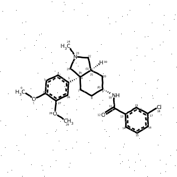 COc1ccc([C@@]23CC[C@@H](NC(=O)c4cccc(Cl)c4)C[C@@H]2CN(C)C3)cc1OC